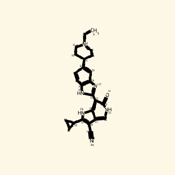 CCN1CCC(c2ccc3[nH]c(-c4c(=O)[nH]cc5c(C#N)c(C6CC6)[nH]c45)nc3c2)CC1